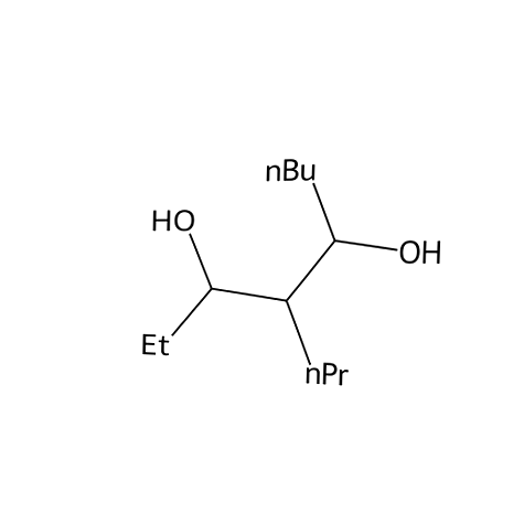 [CH2]CCCC(O)C(CCC)C(O)CC